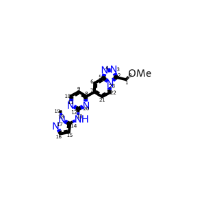 COCc1nnc2cc(-c3ccnc(Nc4ccnn4C)n3)ccn12